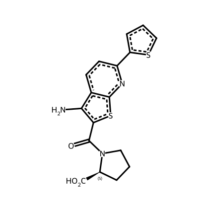 Nc1c(C(=O)N2CCC[C@H]2C(=O)O)sc2nc(-c3cccs3)ccc12